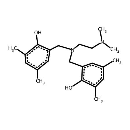 Cc1cc(C)c(O)c(CN(CCN(C)C)Cc2cc(C)cc(C)c2O)c1